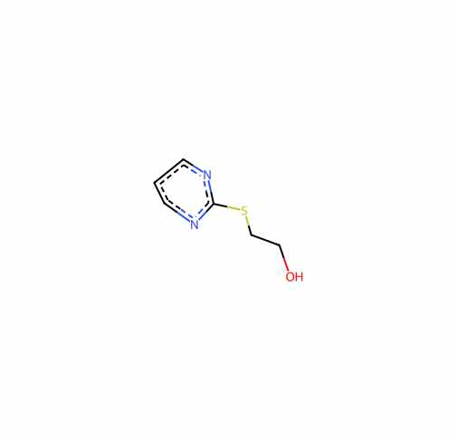 OCCSc1ncccn1